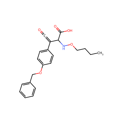 CCCCONC(C(=O)O)C(=C=O)c1ccc(OCc2ccccc2)cc1